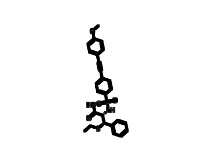 CCS[C@H](c1ccccc1)[C@@H](NS(=O)(=O)c1ccc(C#Cc2ccc(OC)cc2)cc1)C(=O)O